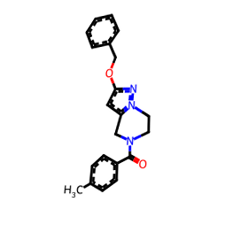 Cc1ccc(C(=O)N2CCn3nc(OCc4ccccc4)cc3C2)cc1